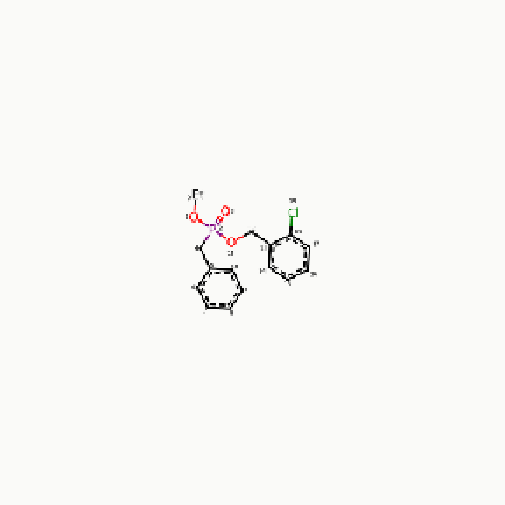 CCOP(=O)(Cc1[c]cccc1)OCc1ccccc1Cl